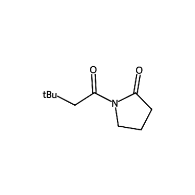 CC(C)(C)CC(=O)N1CCCC1=O